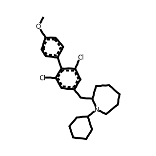 COc1ccc(-c2c(Cl)cc(CC3CCCCCN3C3CCCCC3)cc2Cl)cc1